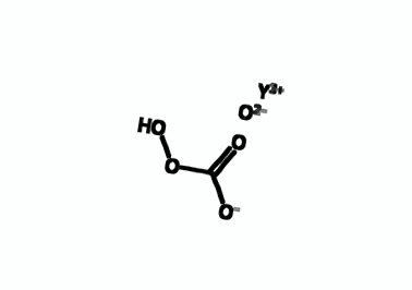 O=C([O-])OO.[O-2].[Y+3]